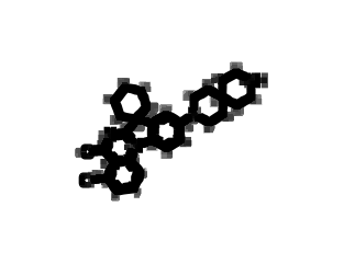 O=c1nc2n(c3cccc(Cl)c13)-c1ccc(N3CCC4(CCNCC4)CC3)cc1C21CCCCC1